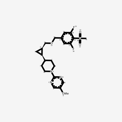 COc1cnc(N2CCC([C@H]3C[C@H]3COCc3cc(F)c(S(C)(=O)=O)c(F)c3)CC2)nc1